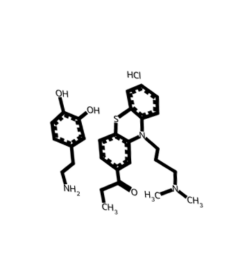 CCC(=O)c1ccc2c(c1)N(CCCN(C)C)c1ccccc1S2.Cl.NCCc1ccc(O)c(O)c1